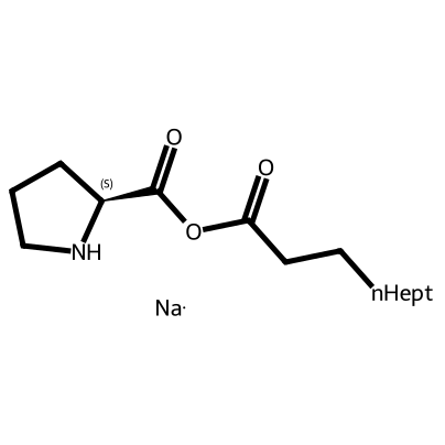 CCCCCCCCCC(=O)OC(=O)[C@@H]1CCCN1.[Na]